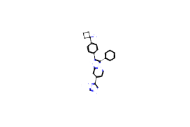 Cn1cncc1-c1ccn2c(-c3ccccc3)c(-c3ccc(C4(N)CCC4)cc3)nc2c1